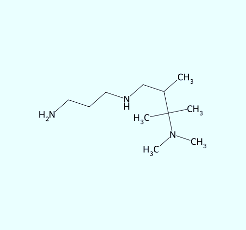 CC(CNCCCN)C(C)(C)N(C)C